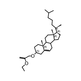 C=C(CO[C@H]1CC[C@@]2(C)C(=CCC3C2CC[C@@]2(C)C3CC[C@@H]2[C@H](C)CCCC(C)C)C1)OCC